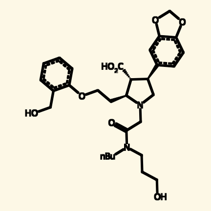 CCCCN(CCCO)C(=O)CN1C[C@H](c2ccc3c(c2)OCO3)[C@@H](C(=O)O)[C@@H]1CCOc1ccccc1CO